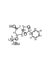 CC(C)(C)[Si](C)(C)OC1C[C@H](O)C[C@@]2(COC(c3ccccc3)O2)C1